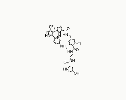 Nc1ccc(-c2[nH]nc(C(F)(F)F)c2-c2cnc(C(=O)NCc3ccc(C(=O)NCCNC(=O)[C@@H]4C[C@@H](O)CN4)c(Cl)c3)[nH]2)nc1